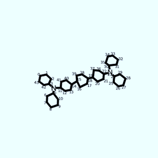 C1CCC(N(C2CCCCC2)C2CCC(C3CCC(C4CCC(N(C5CCCCC5)C5CCCCC5)CC4)CC3)CC2)CC1